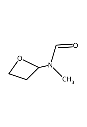 CN(C=O)C1CCO1